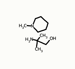 CC(C)(N)CO.CN1CCCCC1